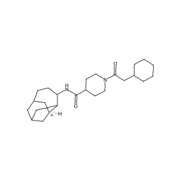 O=C(NC1CCC2CC3CC1[C@H](C2)C3)C1CCN(C(=O)CC2CCCCC2)CC1